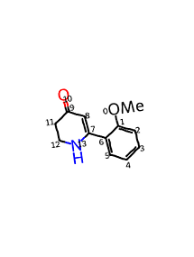 COc1ccccc1C1=CC(=O)CCN1